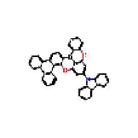 c1ccc2c(c#1)c1c3c(ccc1c1ccccc21)B1c2ccccc2Oc2cc(-n4c5ccccc5c5ccccc54)cc(c21)O3